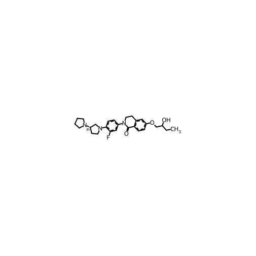 CCC(O)COc1ccc2c(c1)CCN(c1ccc(N3CC[C@@H](N4CCCC4)C3)c(F)c1)C2=O